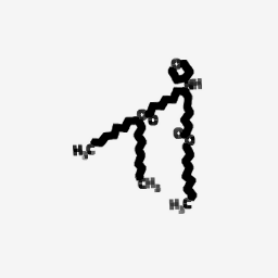 CCCCCCCCCOC(=O)CCCCCC(CCCCCC(=O)OC(CCCCCCCC)CCCCCCCCC)NC1CCOCC1